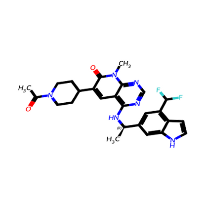 CC(=O)N1CCC(c2cc3c(N[C@H](C)c4cc(C(F)F)c5cc[nH]c5c4)ncnc3n(C)c2=O)CC1